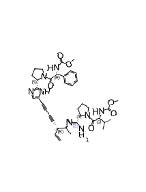 C=C[C@H](C#CC#Cc1cnc([C@@H]2CCCN2C(=O)[C@H](NC(=O)OC)c2ccccc2)[nH]1)C(C)/N=C(\N)[C@@H]1CCCN1C(=O)[C@@H](NC(=O)OC)C(C)C